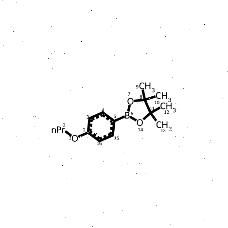 [CH2]CCOc1ccc(B2OC(C)(C)C(C)(C)O2)cc1